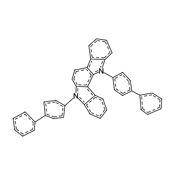 c1ccc(-c2ccc(-n3c4ccccc4c4c3ccc3c5ccccc5n(-c5ccc(-c6ccccc6)cc5)c34)cc2)cc1